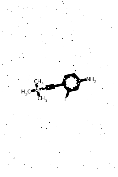 C[Si](C)(C)C#Cc1ccc(N)cc1F